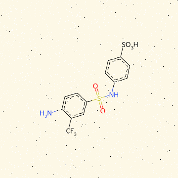 Nc1ccc(S(=O)(=O)Nc2ccc(S(=O)(=O)O)cc2)cc1C(F)(F)F